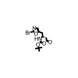 CC(C)(C)OC(=O)N[C@@H](CC=O)Cc1cnc(Br)o1